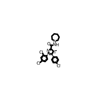 C[C@@H]1C(C(=O)NN2CCCCCC2)=NN(c2ccc(Cl)cc2Cl)[C@@H]1c1ccc(Cl)cc1